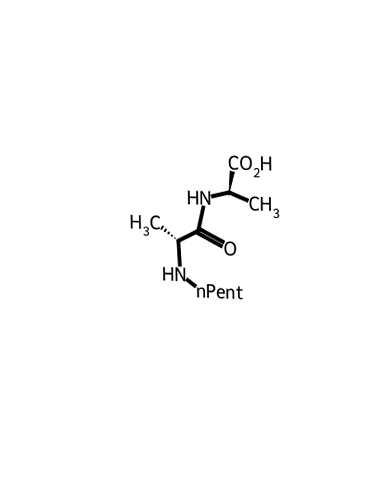 CCCCCN[C@H](C)C(=O)N[C@H](C)C(=O)O